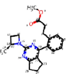 COC(=O)CCc1ccccc1-c1nc(N2CC[C@@H]2C)nc2c1CCC2